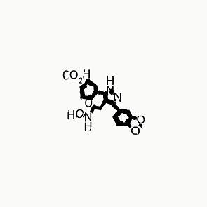 O=C(Cc1c(-c2ccc3c(c2)OCO3)n[nH]c1-c1cccc(C(=O)O)c1)NO